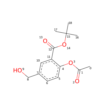 CC(=O)Oc1ccc(CO)cc1C(=O)OC(C)(C)C